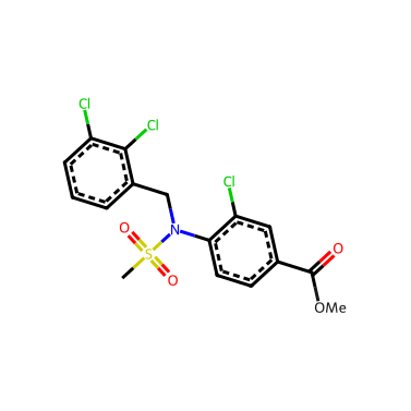 COC(=O)c1ccc(N(Cc2cccc(Cl)c2Cl)S(C)(=O)=O)c(Cl)c1